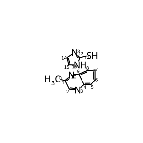 Cc1cnc2ccccc2n1.Sc1ncc[nH]1